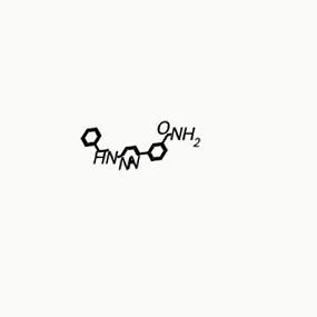 NC(=O)c1cccc(-c2ccc(NCCc3ccccc3)nn2)c1